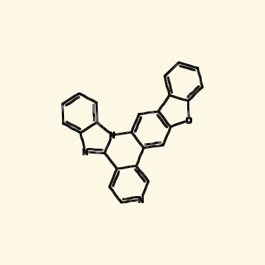 c1ccc2c(c1)nc1c3ccncc3c3cc4oc5ccccc5c4cc3n21